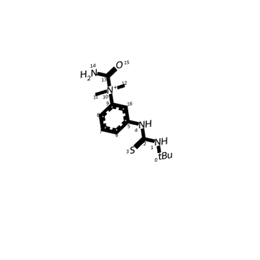 CC(C)(C)NC(=S)Nc1cccc([N+](C)(C)C(N)=O)c1